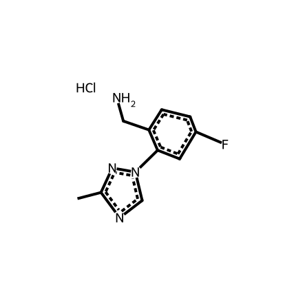 Cc1ncn(-c2cc(F)ccc2CN)n1.Cl